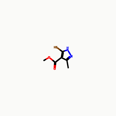 COC(=O)c1c(C)n[nH]c1S